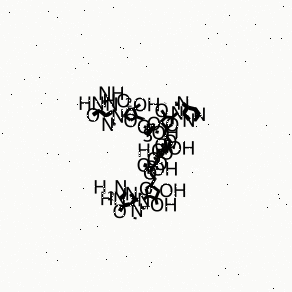 COC1C(OP(O)(=S)OCC2OC(n3cnc4c(=O)[nH]c(N)nc43)C(O)C2O)C(COP(=O)(O)OP(=O)(O)OP(=O)(O)OCC2OC(n3c[n+](C)c4c(=O)[nH]c(N)nc43)C(O)C2O)OC1n1cnc2cncnc21